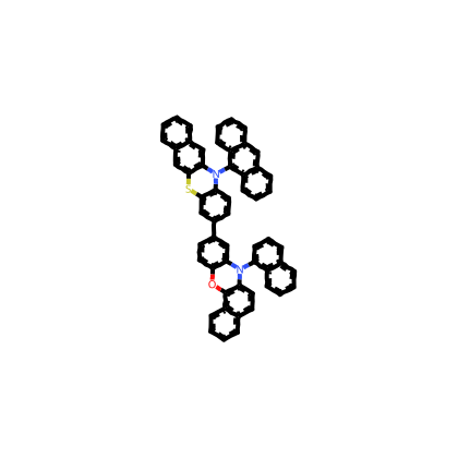 c1ccc2cc3c(cc2c1)Sc1cc(-c2ccc4c(c2)N(c2cccc5ccccc25)c2ccc5ccccc5c2O4)ccc1N3c1c2ccccc2cc2ccccc12